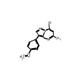 COc1ccc(-c2cnn3c(S)cc(C)nc23)cc1